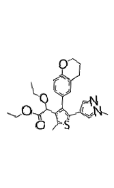 CCOC(=O)C(OCC)c1c(C)sc(-c2cnn(C)c2)c1-c1ccc2c(c1)CCCO2